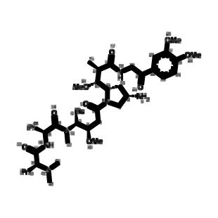 CC[C@H](C)[C@@H]([C@@H](CC(=O)N1C[C@@H](N)C[C@H]1[C@H](OC)[C@@H](C)C(=O)NCC(=O)c1ccc(OC)c(OC)c1)OC)N(C)C(=O)[C@@H](NC(=O)[C@H](C(C)C)N(C)C)C(C)C